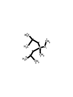 CO[Si](C)(CC(C)C)CC(C)C